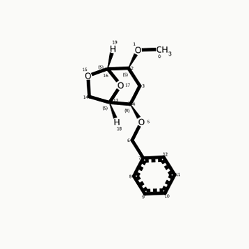 CO[C@H]1C[C@@H](OCc2ccccc2)[C@@H]2CO[C@H]1O2